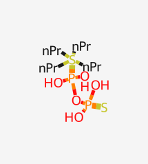 CCCS(CCC)(CCC)(CCC)=P(O)(O)OP(O)(O)=S